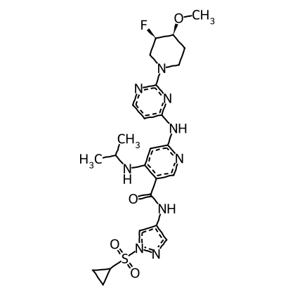 CO[C@H]1CCN(c2nccc(Nc3cc(NC(C)C)c(C(=O)Nc4cnn(S(=O)(=O)C5CC5)c4)cn3)n2)C[C@H]1F